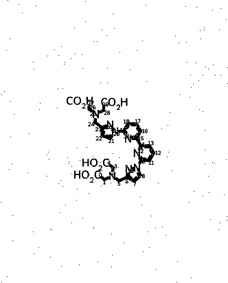 O=C(O)CN(CC(=O)O)Cc1ccn(-c2cccc(-c3cccc(-n4ccc(CN(CC(=O)O)CC(=O)O)n4)n3)n2)n1